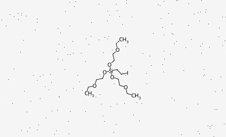 CCOCCO[Si](CCI)(OCCOCC)OCCOCC